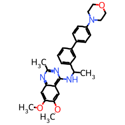 COc1cc2nc(C)nc(NC(C)c3cccc(-c4ccc(N5CCOCC5)cc4)c3)c2cc1OC